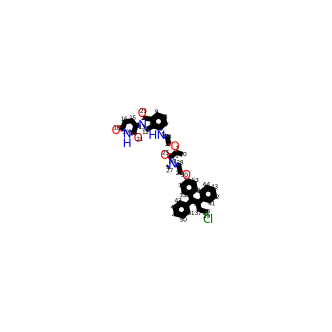 CC(OCCNc1cccc2c1CN(C1CCC(=O)NC1=O)C2=O)C(=O)N(C)CCOc1ccc(/C(=C(/CCCl)c2ccccc2)c2ccccc2)cc1